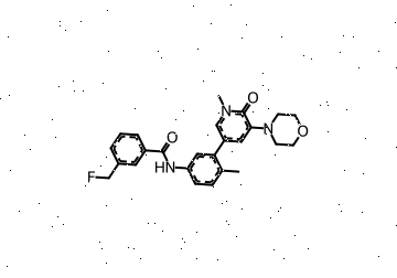 Cc1ccc(NC(=O)c2cccc(CF)c2)cc1-c1cc(N2CCOCC2)c(=O)n(C)c1